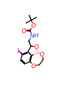 CC(C)(C)OC(=O)NCC1OB2OCCOc3ccc(I)c1c32